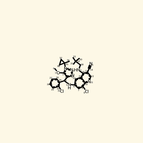 COc1c(C(Nc2cc(Cl)c3ncc(C#N)c(NCC(C)(C)C)c3c2)c2ccccc2Cl)nnn1C1(C)CC1